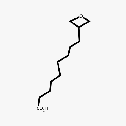 O=C(O)CCCCCCCCC1COC1